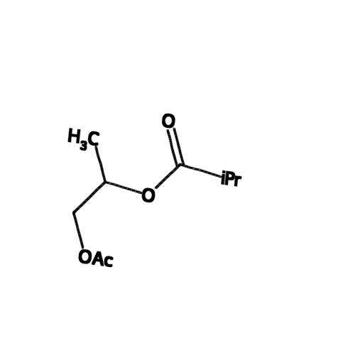 CC(=O)OCC(C)OC(=O)C(C)C